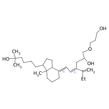 C=C(CC)/C(=C/C=C1\CCCC2(C)C(CCCCC(C)(C)O)CCC12)CC(O)COCCCO